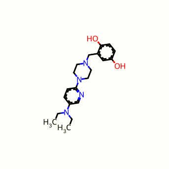 CCN(CC)c1ccc(N2CCN(Cc3cc(O)ccc3O)CC2)nc1